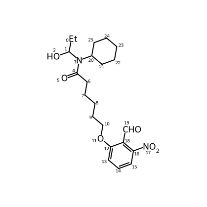 CCC(O)N(C(=O)CCCCCOc1cccc([N+](=O)[O-])c1C=O)C1CCCCC1